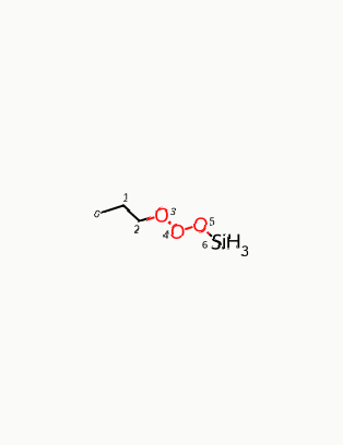 CCCOOO[SiH3]